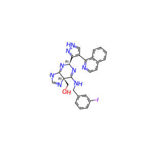 OC[C@@]12N=C[N]C1=N[C@@H](c1n[nH]cc1-c1nccc3ccccc13)N=C2NCc1cccc(I)c1